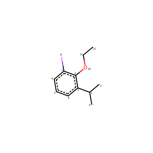 [CH2]C(C)c1cccc(I)c1OCC